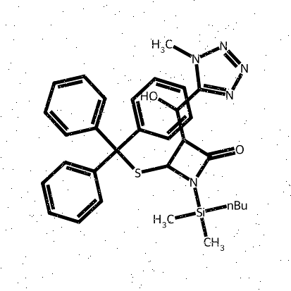 CCCC[Si](C)(C)N1C(=O)C(C(O)c2nnnn2C)C1SC(c1ccccc1)(c1ccccc1)c1ccccc1